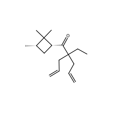 C=CCC(CC)(CC=C)C(=O)[C@@H]1C[C@H](C)C1(C)C